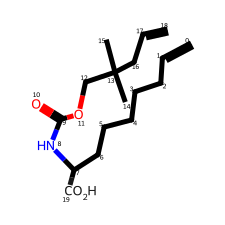 C=CCCCCCC(NC(=O)OCC(C)(C)CC=C)C(=O)O